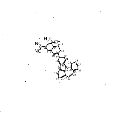 CC1(C)CC(=C(C#N)C#N)C=C2C=C(c3ccc(N4c5ccccc5C=Cc5ccccc54)cc3)CCC21